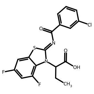 CCC(C(=O)O)n1c(=NC(=O)c2cccc(Cl)c2)sc2cc(F)cc(F)c21